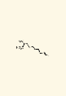 C/C=C/CCCCCCC(OC(C)=O)C(=O)O